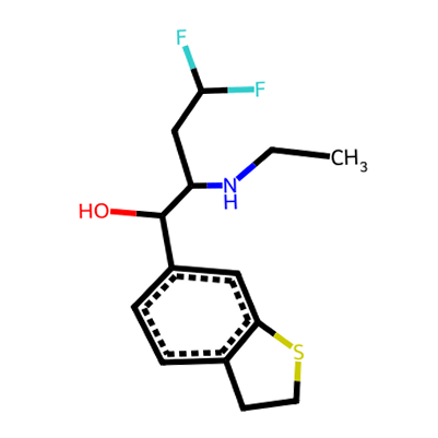 CCNC(CC(F)F)C(O)c1ccc2c(c1)SCC2